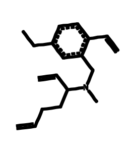 C=CCCC(C=C)N(C)Cc1cc(CC)ccc1C=C